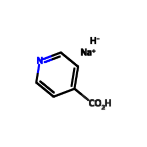 O=C(O)c1ccncc1.[H-].[Na+]